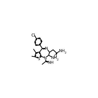 CC(=N)N1c2sc(C)c(C)c2C(c2ccc(Cl)cc2)=NC(CC(N)=O)C1N